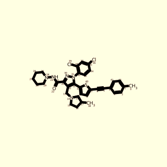 Cc1ccc(C#Cc2ccc(-c3c(CN4CCC(C)C4)c(C(=O)NN4CCCCC4)nn3-c3ccc(Cl)cc3Cl)s2)cc1